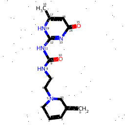 C=C1C=CCN(CCNC(=O)Nc2nc(=O)cc(C)[nH]2)C1